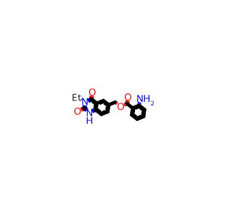 CCn1c(=O)[nH]c2ccc(COC(=O)c3ccccc3N)cc2c1=O